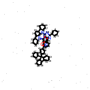 c1ccc(-c2nc(-c3ccccc3)nc(-n3c4ccccc4c4ccc5c6ccccc6n(-c6cccc7nc(-c8ccc(C9(c%10ccccc%10)c%10ccccc%10-c%10ccccc%109)cc8)oc67)c5c43)n2)cc1